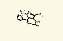 Cc1nn(C)c2c1NC(=O)CN=C2c1ccccc1